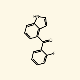 O=C(c1ccccc1F)c1cccc2[nH]ccc12